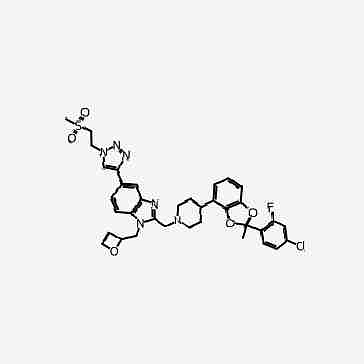 CC1(c2ccc(Cl)cc2F)Oc2cccc(C3CCN(Cc4nc5cc(-c6cn(CCS(C)(=O)=O)nn6)ccc5n4CC4CCO4)CC3)c2O1